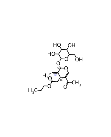 C/C=C1/[C@H](OC2OC(CO)C(O)C(O)C2O)OC=C(C(C)=O)[C@H]1CC(=O)OCCC